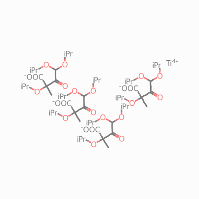 CC(C)OC(OC(C)C)C(=O)C(C)(OC(C)C)C(=O)[O-].CC(C)OC(OC(C)C)C(=O)C(C)(OC(C)C)C(=O)[O-].CC(C)OC(OC(C)C)C(=O)C(C)(OC(C)C)C(=O)[O-].CC(C)OC(OC(C)C)C(=O)C(C)(OC(C)C)C(=O)[O-].[Ti+4]